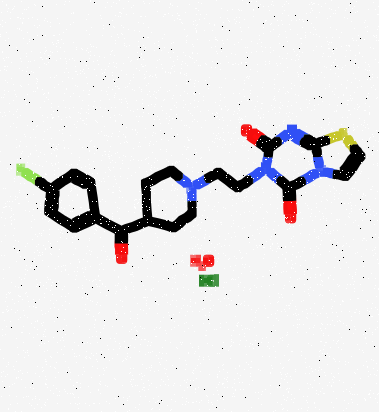 Cl.O.O=C(c1ccc(F)cc1)C1CCN(CCn2c(=O)nc3sccn3c2=O)CC1